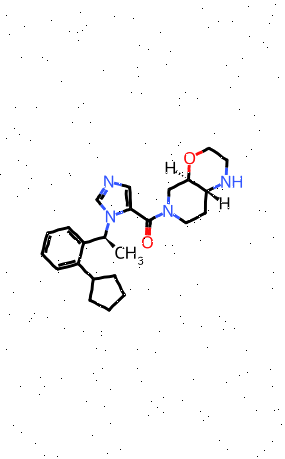 C[C@@H](c1ccccc1C1CCCC1)n1cncc1C(=O)N1CC[C@H]2NCCO[C@@H]2C1